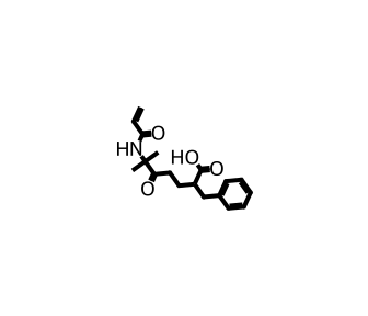 C=CC(=O)NC(C)(C)C(=O)CCC(Cc1ccccc1)C(=O)O